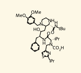 COc1ccc(CN2CCN[C@H](C(=O)NC(C)(C)C)C2C[C@@H](O)[C@H](Cc2ccccc2)NC(=O)[C@H](C(C)C)N(Cc2csc(C(C)C)n2)C(=O)O)cc1OC